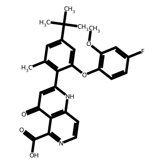 COc1cc(F)ccc1Oc1cc(C(C)(C)C)cc(C)c1-c1cc(=O)c2c(C(=O)O)nccc2[nH]1